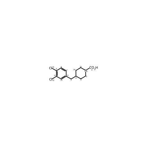 O=C(O)N1CCC(Cc2ccc(Cl)c(Cl)c2)CC1